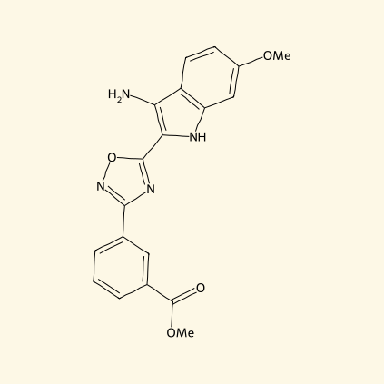 COC(=O)c1cccc(-c2noc(-c3[nH]c4cc(OC)ccc4c3N)n2)c1